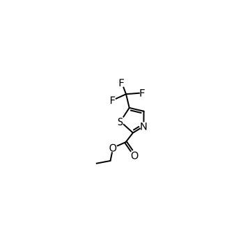 CCOC(=O)c1ncc(C(F)(F)F)s1